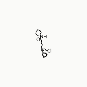 O=C(CCCCN(CCCl)Cc1ccccc1)NC1CCCCCC1